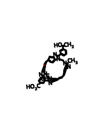 C=C(O)c1cccc(-c2nc3cc4ccc3n2Cn2c(C)nc3cc(ccc32)-c2ccc3c(c2)nc(-c2cccc(C(=O)O)c2)n3Cn2c(C)nc3cc-4ccc32)c1